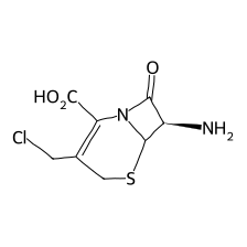 N[C@@H]1C(=O)N2C(C(=O)O)=C(CCl)CSC12